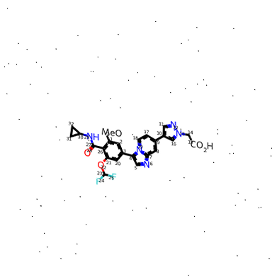 COc1cc(-c2cnc3cc(-c4cnn(CC(=O)O)c4)ccn23)cc(OC(F)F)c1C(=O)NC1CC1